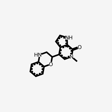 Cn1cc(C2CNc3ccccc3O2)c2cc[nH]c2c1=O